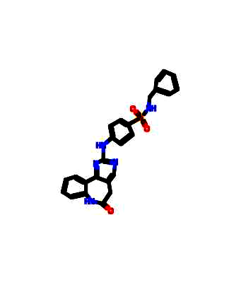 O=C1Cc2cnc(Nc3ccc(S(=O)(=O)NCc4ccccc4)cc3)nc2-c2ccccc2N1